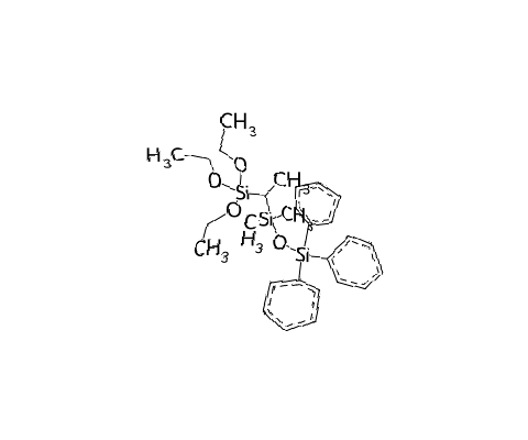 CCO[Si](OCC)(OCC)C(C)[Si](C)(C)O[Si](c1ccccc1)(c1ccccc1)c1ccccc1